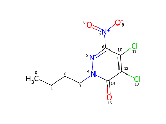 CCCCn1nc([N+](=O)[O-])c(Cl)c(Cl)c1=O